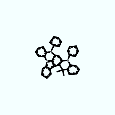 CC1(C)c2ccccc2N(c2ccccc2)c2cc3c4c(c21)c1ccccc1n4-c1ccccc1N3c1ccccc1